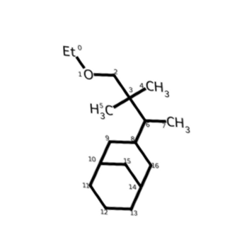 CCOCC(C)(C)C(C)C1CC2CCCC(C2)C1